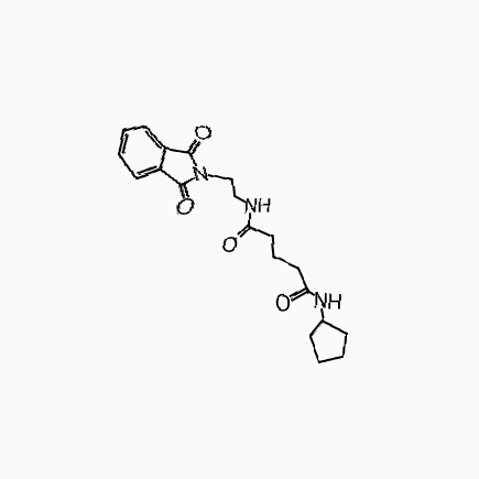 O=C(CCCC(=O)NC1CCCC1)NCCN1C(=O)c2ccccc2C1=O